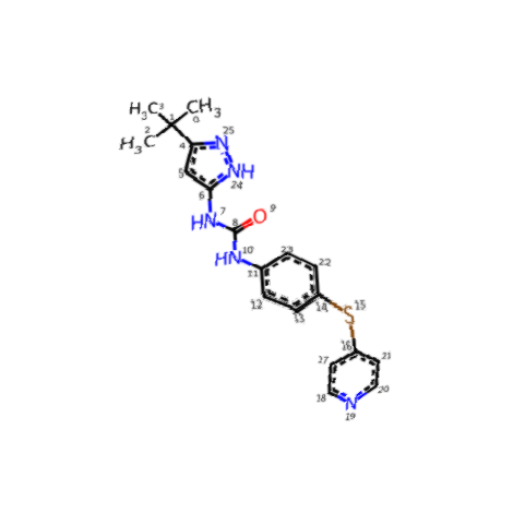 CC(C)(C)c1cc(NC(=O)Nc2ccc(Sc3ccncc3)cc2)[nH]n1